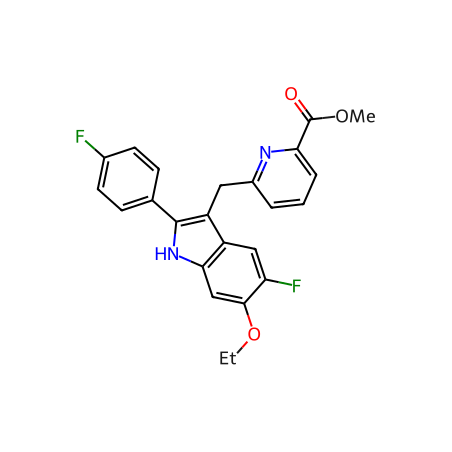 CCOc1cc2[nH]c(-c3ccc(F)cc3)c(Cc3cccc(C(=O)OC)n3)c2cc1F